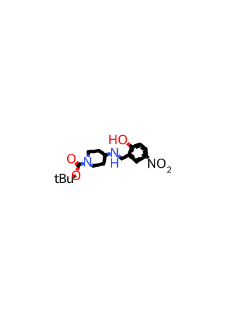 CC(C)(C)OC(=O)N1CCC(NCc2cc([N+](=O)[O-])ccc2O)CC1